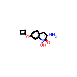 N[C@H]1Cc2ccc(OC3CCC3)cc2N(O)C1=O